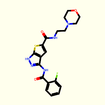 O=C(NCCN1CCOCC1)c1cc2c(NC(=O)c3ccccc3F)n[nH]c2s1